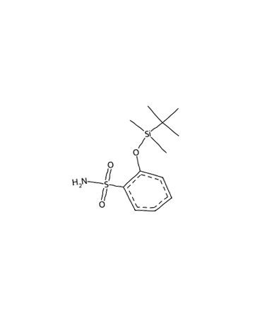 CC(C)(C)[Si](C)(C)Oc1ccccc1S(N)(=O)=O